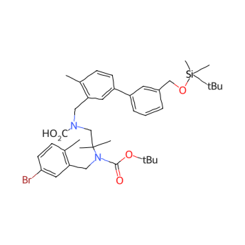 Cc1ccc(-c2cccc(CO[Si](C)(C)C(C)(C)C)c2)cc1CN(CC(C)(C)N(Cc1cc(Br)ccc1C)C(=O)OC(C)(C)C)C(=O)O